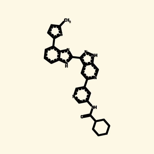 Cc1ccc(-c2cccc3[nH]c(-c4n[nH]c5cnc(-c6cncc(NC(=O)C7CCCCC7)c6)cc45)nc23)s1